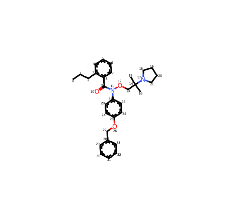 CCCc1ccccc1C(=O)N(OCC(C)(C)N1CCCC1)c1ccc(OCc2ccccc2)cc1